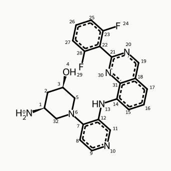 N[C@H]1C[C@@H](O)CN(c2ccncc2Nc2cccc3cnc(-c4c(F)cccc4F)nc23)C1